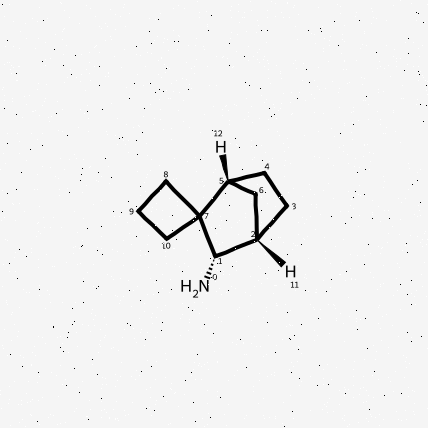 N[C@H]1[C@H]2CC[C@H](C2)C12CCC2